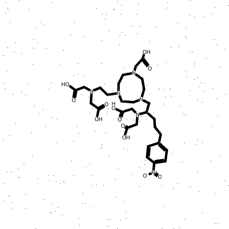 O=C(O)CN1CCN(CCN(CC(=O)O)CC(=O)O)CCN(CC(CCCc2ccc([N+](=O)[O-])cc2)N(CC(=O)O)CC(=O)O)CC1